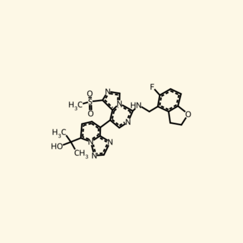 CC(C)(O)c1ccc(-c2cnc(NCc3c(F)ccc4c3CCO4)n3cnc(S(C)(=O)=O)c23)c2ncnn12